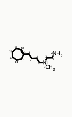 CN(CCN)CCCCC1=CCCCCC1